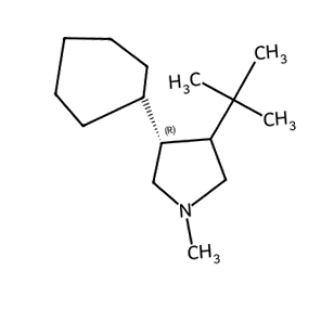 CN1CC(C(C)(C)C)[C@@H](C2CCCCC2)C1